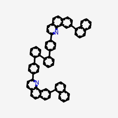 c1ccc(-c2ccccc2-c2ccc(-c3ccc4ccc5ccc(-c6cccc7ccccc67)cc5c4n3)cc2)c(-c2ccc(-c3ccc4ccc5ccc(-c6cccc7ccccc67)cc5c4n3)cc2)c1